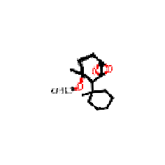 CC1(C2C(C)(OC=O)CCC34OC23O4)CCCCC1